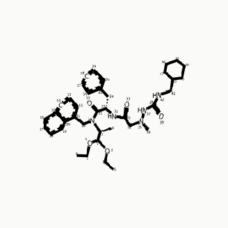 CCOC(OCC)[C@H](C)N(Cc1cccc2ccccc12)C(=O)[C@H](Cc1ccccc1)NC(=O)CN(C)NC(=O)NCC1CCCCC1